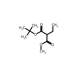 CCC(C(=O)OC)C(=O)OC(C)(C)C